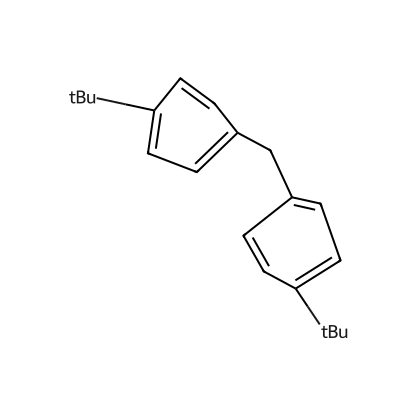 CC(C)(C)c1ccc(Cc2ccc(C(C)(C)C)cc2)cc1